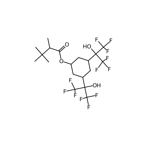 CC(C(=O)OC1CC(C(O)(C(F)(F)F)C(F)(F)F)CC(C(O)(C(F)(F)F)C(F)(F)F)C1)C(C)(C)C